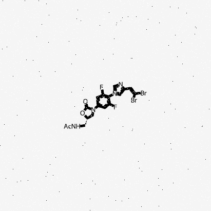 CC(=O)NC[C@H]1CN(c2cc(F)c(-n3cnc(C=C(Br)Br)c3)c(F)c2)C(=O)O1